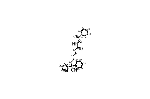 N#CC(CCCCCC(=O)NOC(=O)c1ccccc1)(c1ccccc1)c1nccs1